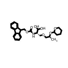 C[C@@H](COC[C@H](NC(=O)OCC1c2ccccc2-c2ccccc21)C(O)O)OC1CCCCO1